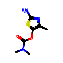 Cc1nc(N)sc1OC(=O)N(C)C